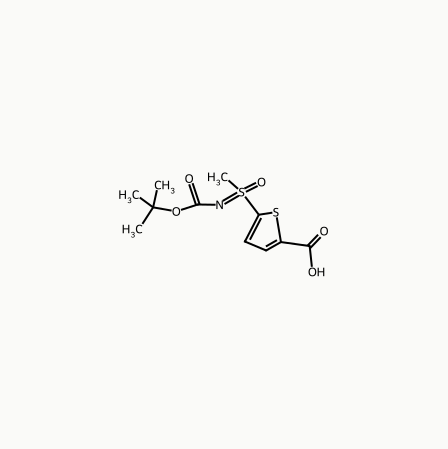 CC(C)(C)OC(=O)N=S(C)(=O)c1ccc(C(=O)O)s1